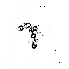 C[C@H]1CO[C@@H](c2nc(-c3ccc(C(=O)Nc4ccccn4)cc3)c3c(N)nccn23)CN1C1CCOCC1